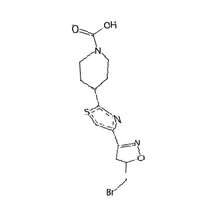 O=C(O)N1CCC(c2nc(C3=NOC(CBr)C3)cs2)CC1